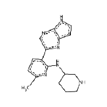 Cc1ccc(-c2cnc3[nH]ccc3n2)c(NC2CCCNC2)n1